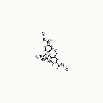 CC(N=C=O)c1ccc2c(c1)CCc1cc(C(C)N=C=O)ccc1C2(CCN)C(=N)N